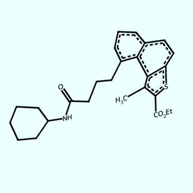 CCOC(=O)c1sc2ccc3cccc(CCCC(=O)NC4CCCCC4)c3c2c1C